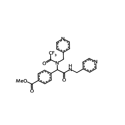 COC(=O)c1ccc(C(C(=O)NCc2ccncc2)N(Cc2ccncc2)C(=O)C(F)(F)F)cc1